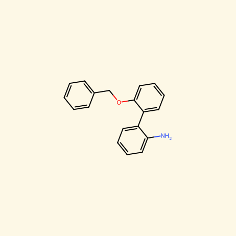 Nc1ccccc1-c1ccccc1OCc1ccccc1